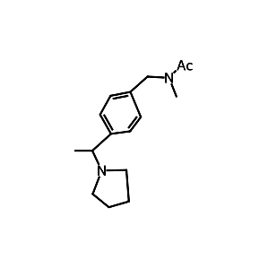 CC(=O)N(C)Cc1ccc(C(C)N2CCCC2)cc1